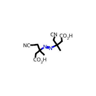 CC(CC#N)(CC(=O)O)N=NC(C)(CC#N)CC(=O)O